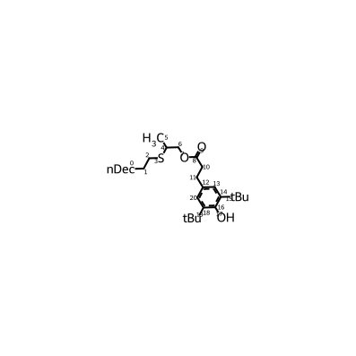 CCCCCCCCCCCCSC(C)COC(=O)CCc1cc(C(C)(C)C)c(O)c(C(C)(C)C)c1